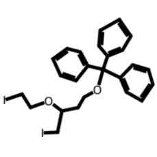 ICCOC(CI)CCOC(c1ccccc1)(c1ccccc1)c1ccccc1